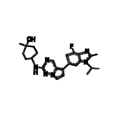 Cc1nc2c(F)cc(-c3ccn4nc(NC5CCC(C)(O)CC5)ncc34)cc2n1C(C)C